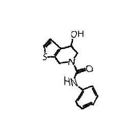 O=C(Nc1ccccc1)N1Cc2sccc2C(O)C1